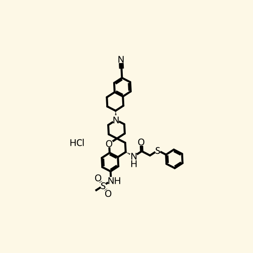 CS(=O)(=O)Nc1ccc2c(c1)[C@@H](NC(=O)CSc1ccccc1)CC1(CCN([C@@H]3CCc4cc(C#N)ccc4C3)CC1)O2.Cl